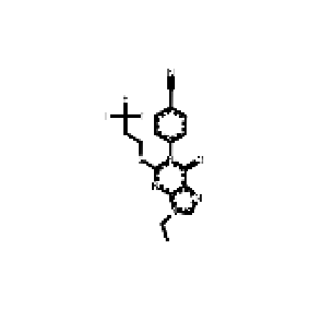 CCn1cnc2c(=O)n(-c3ccc(C#N)cc3)c(SCCC(F)(F)F)nc21